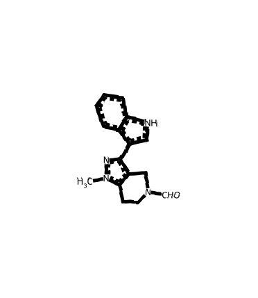 Cn1nc(-c2c[nH]c3ccccc23)c2c1CCN(C=O)C2